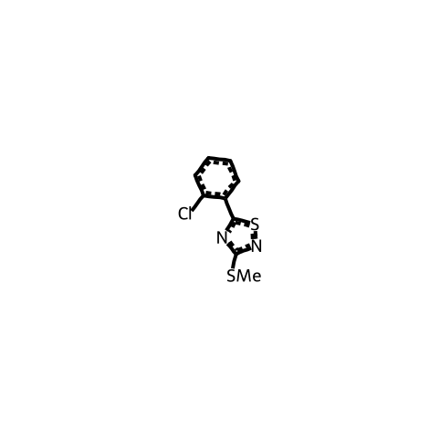 CSc1nsc(-c2ccccc2Cl)n1